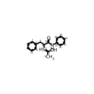 CC(O)=[SH]C(Cc1ccccc1)C(=O)Nc1ccccc1